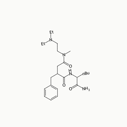 CCCCC(NC(=O)C(CC(=O)N(C)CCN(CC)CC)Cc1ccccc1)C(N)=O